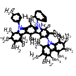 Bc1ccc(-n2c3c(B)c(B)c(B)c(B)c3c3c(B)c4c5c(B)c(-n6c7c(B)c(B)c(B)c(B)c7c7c(B)c(B)c(B)c(B)c76)c(B)c(B)c5n(-c5ccccc5B)c4c(B)c32)cc1